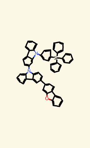 c1ccc([Si](c2ccccc2)(c2ccccc2)c2ccc(-n3c4ccccc4c4ccc(-n5c6ccccc6c6cc(-c7ccc8c(c7)oc7ccccc78)ccc65)cc43)cc2)cc1